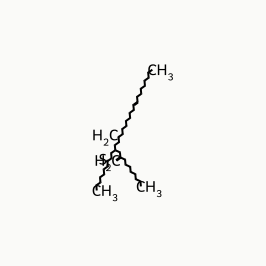 C=C(CCCCCCC/C=C/CCCCCCCC)CCC(CCC(=S)CCCCCCC)CC(=C)CCCCCCCC